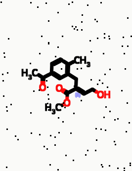 COC(=O)/C(=C/CO)Cc1cc(C(C)=O)ccc1C